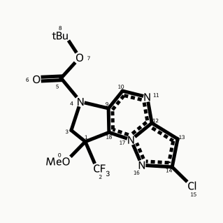 COC1(C(F)(F)F)CN(C(=O)OC(C)(C)C)c2cnc3cc(Cl)nn3c21